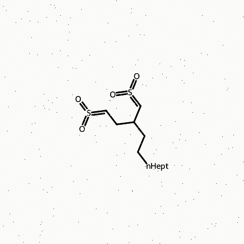 CCCCCCCCCC(C=S(=O)=O)CC=S(=O)=O